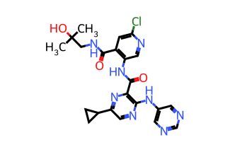 CC(C)(O)CNC(=O)c1cc(Cl)ncc1NC(=O)c1nc(C2CC2)cnc1Nc1cncnc1